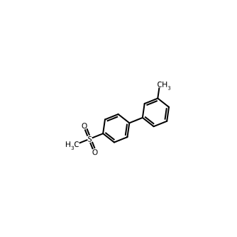 Cc1cccc(-c2ccc(S(C)(=O)=O)cc2)c1